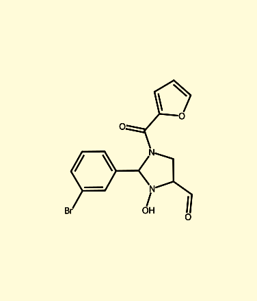 O=CC1CN(C(=O)c2ccco2)C(c2cccc(Br)c2)N1O